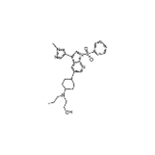 CCCN(CCO)C1CCC(c2cnc3c(c2)c(-c2cnn(C)c2)cn3S(=O)(=O)c2ccccc2)CC1